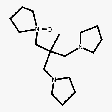 CC(CN1CCCC1)(CN1CCCC1)C[N+]1([O-])CCCC1